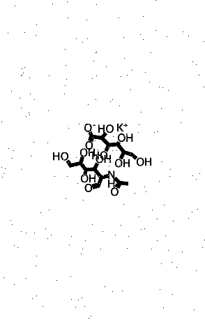 CC(=O)NC(C=O)C(O)C(O)C(O)CO.O=C([O-])C(O)C(O)C(O)C(O)CO.[K+]